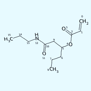 C=CC(=O)OC(CCC)CC(=O)NCCC